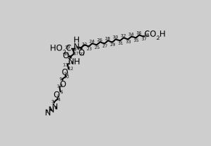 [N-]=[N+]=NCCOCCOCCOCCNC(=O)CC(NC(=O)CCCCCCCCCCCCCCCCC(=O)O)C(=O)O